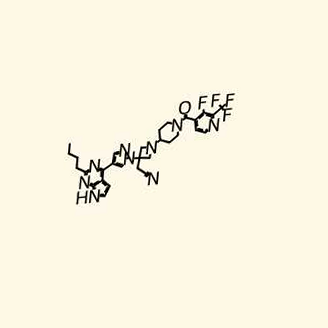 CCCCc1nc(-c2cnn(C3(CC#N)CN(C4CCN(C(=O)c5ccnc(C(F)(F)F)c5F)CC4)C3)c2)c2cc[nH]c2n1